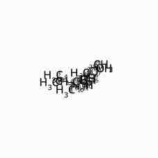 CC[C@H](C)CCC[C@@H](C)[C@H]1CC[C@H]2[C@@H]3CC=C4C[C@@](C)(O)CC[C@]4(C)[C@H]3CC[C@]12C